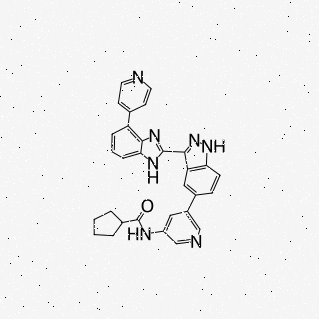 O=C(Nc1cncc(-c2ccc3[nH]nc(-c4nc5c(-c6ccncc6)cccc5[nH]4)c3c2)c1)C1CCCC1